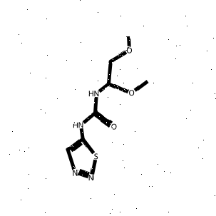 COCC(NC(=O)Nc1cnns1)OC